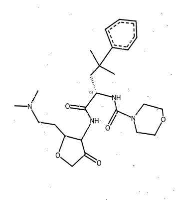 CN(C)CCC1OCC(=O)C1NC(=O)[C@H](CC(C)(C)c1ccccc1)NC(=O)N1CCOCC1